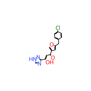 O=C(C=C(O)c1nc[nH]n1)c1coc(Cc2ccc(Cl)cc2)c1